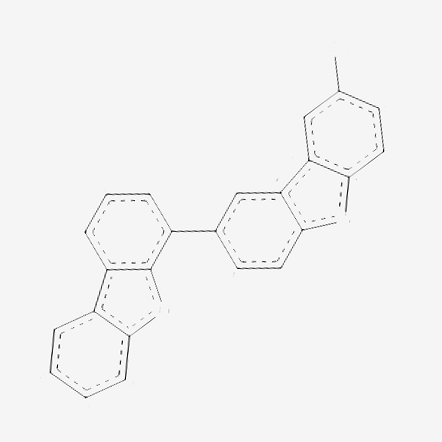 Cc1ccc2oc3ccc(-c4cccc5c4oc4ccccc45)cc3c2c1